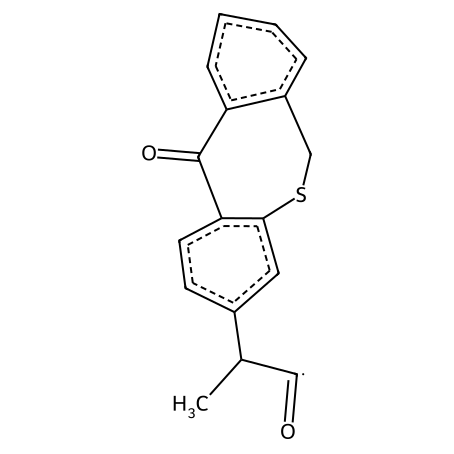 CC([C]=O)c1ccc2c(c1)SCc1ccccc1C2=O